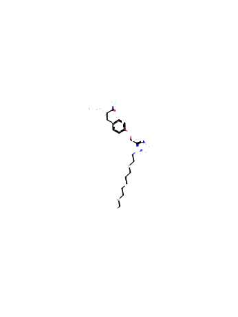 CN[C@@H](Cc1ccc(OCc2cnnn2CCCCCCCCCCC(=O)O)cc1)C(N)=O